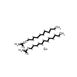 CCCCCCCCCCCCOC(N)=S.CCCCCCCCCCCCOC(N)=S.[Cu]